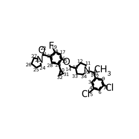 C[C@@H](c1cc(Cl)cc(Cl)c1)N1CCC(COc2cc(F)c(C(=O)N3CCCC3)cc2C2CC2)CC1